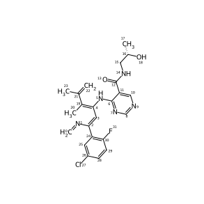 C=N/C(=C\C(Nc1ncncc1C(=O)NC[C@H](C)O)=C(/C)C(=C)C)c1cc(Cl)ccc1F